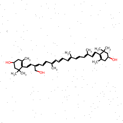 CC1=C(/C=C/C(=C/C=C/C(C)=C/C=C/C=C(C)/C=C/C=C(C)/C=C/C2=C(C)CC(O)CC2(C)C)CO)C(C)(C)CC(O)C1